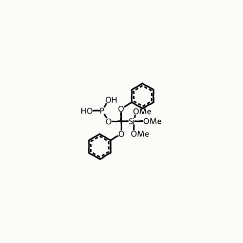 CO[Si](OC)(OC)C(Oc1ccccc1)(Oc1ccccc1)OP(O)O